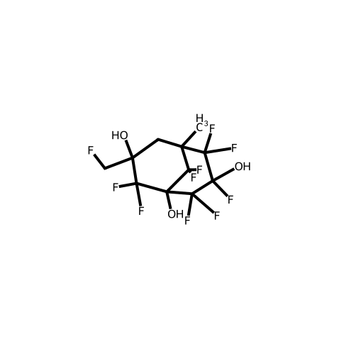 CC12CC(O)(CF)C(F)(F)C(O)(C(F)(F)C(O)(F)C1(F)F)C2(F)F